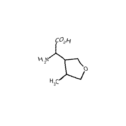 CC1COCC1C(N)C(=O)O